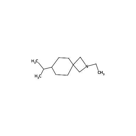 CCN1CC2(CCC(C(C)C)CC2)C1